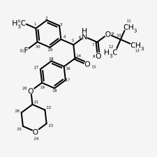 Cc1ccc(C(NC(=O)OC(C)(C)C)C(=O)c2ccc(OC3CCOCC3)cc2)cc1F